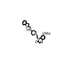 COc1ccc2ncc(=O)n(CCN3CCC(NCC4Cc5ccccc5S4)CC3)c2c1